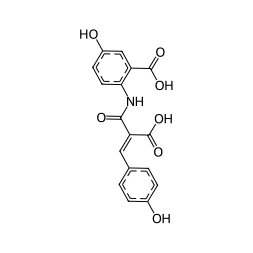 O=C(O)C(=Cc1ccc(O)cc1)C(=O)Nc1ccc(O)cc1C(=O)O